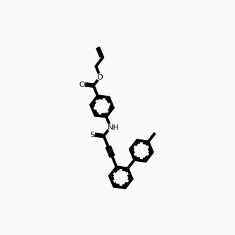 C=CCOC(=O)c1ccc(NC(=S)C#Cc2ccccc2-c2ccc(C)cc2)cc1